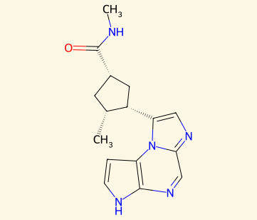 CNC(=O)[C@H]1C[C@@H](C)[C@@H](c2cnc3cnc4[nH]ccc4n23)C1